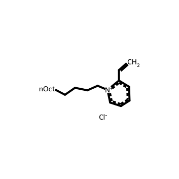 C=Cc1cccc[n+]1CCCCCCCCCCCC.[Cl-]